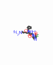 NCCCCC(NC(=O)C1CCCC1)C(=O)Cn1ccnc(F)c1=O